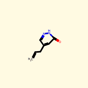 C=CCc1[c]n[nH]c(=O)c1